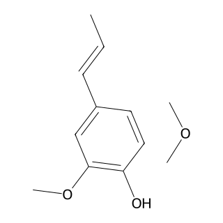 CC=Cc1ccc(O)c(OC)c1.COC